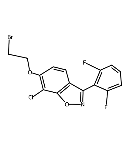 Fc1cccc(F)c1-c1noc2c(Cl)c(OCCBr)ccc12